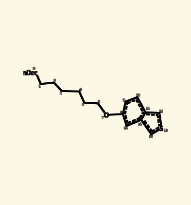 CCCCCCCCCCCCCCCCOc1ccc2cscc2c1